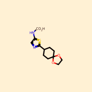 O=C(O)Nc1cnc(C2CCC3(CC2)OCCO3)s1